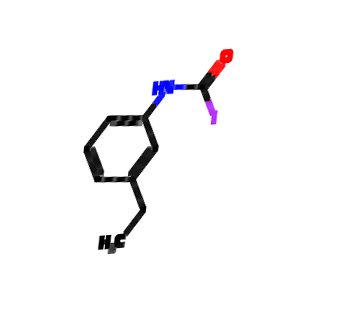 CCc1cccc(NC(=O)I)c1